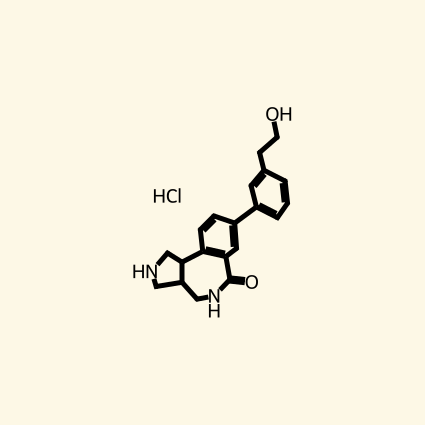 Cl.O=C1NCC2CNCC2c2ccc(-c3cccc(CCO)c3)cc21